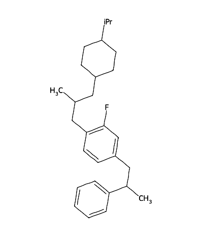 CC(Cc1ccc(CC(C)c2ccccc2)cc1F)CC1CCC(C(C)C)CC1